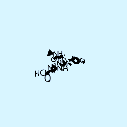 COc1ccc(CN(C)c2cc(Nc3cc(C(=O)O)nn3C)nn3c(C(=O)NC4CC4)cnc23)cc1